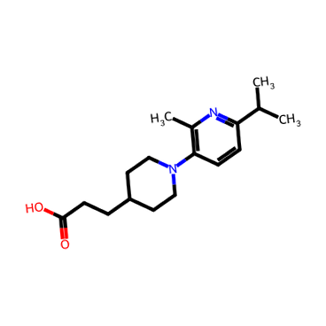 Cc1nc(C(C)C)ccc1N1CCC(CCC(=O)O)CC1